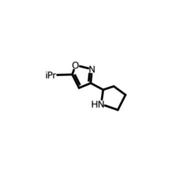 CC(C)c1cc(C2CCCN2)no1